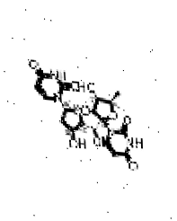 C[C@H]1O[C@@](C(O)[C@H]2O[C@@H](n3ccc(=O)[nH]c3=O)C[C@@H]2O)(n2ccc(=O)[nH]c2=O)[C@H](O)[C@@H]1O